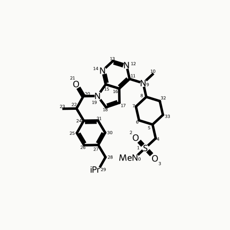 CNS(=O)(=O)CC1CCC(N(C)c2ncnc3c2ccn3C(=O)C(C)c2ccc(CC(C)C)cc2)CC1